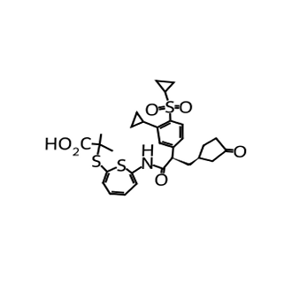 CC(C)(SC1=CC=CC=C(NC(=O)[C@H](C[C@H]2CCC(=O)C2)c2ccc(S(=O)(=O)C3CC3)c(C3CC3)c2)S1)C(=O)O